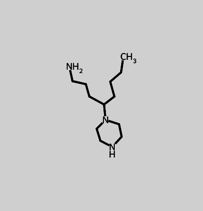 CCCCC(CCCN)N1CCNCC1